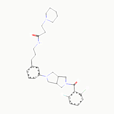 O=C(CCN1CCCCC1)NCCCc1cccc(N2CC3CN(C(=O)c4c(F)cccc4Cl)CC3C2)c1